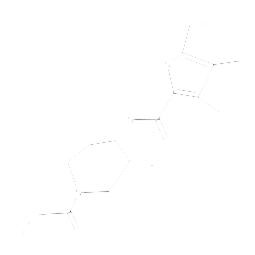 Cc1[nH]c(C(=O)N[C@H]2CCN(C(=O)OC(C)(C)C)C[C@H]2F)c(Cl)c1Cl